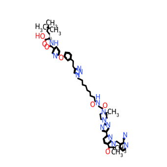 C[C@@H]1CN(c2ncc(-c3ccc4c(n3)N(Cc3cccnc3C#N)C(C)(C)C4=O)cn2)CCN1C(=O)CNC(=O)CCCCCCCCn1cc(CCc2cccc(Oc3ccc(C(=O)N[C@@H](CCC(C)(C)C)C(=O)O)cn3)c2)nn1